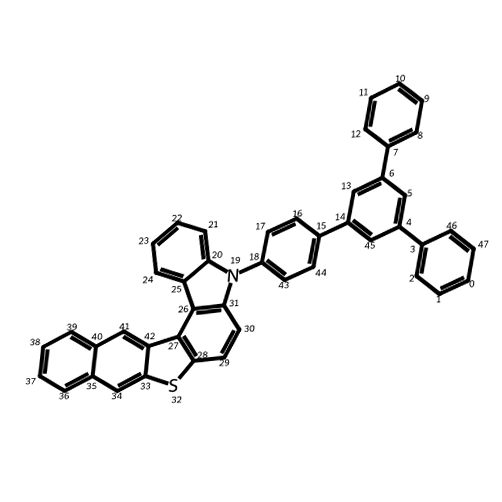 c1ccc(-c2cc(-c3ccccc3)cc(-c3ccc(-n4c5ccccc5c5c6c(ccc54)sc4cc5ccccc5cc46)cc3)c2)cc1